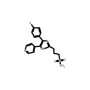 CS(=O)(=O)CCCc1nc(-c2ccc(F)cc2)c(-c2ccncc2)[nH]1